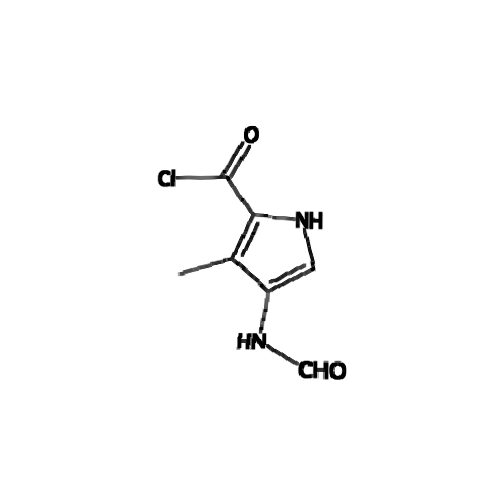 Cc1c(NC=O)c[nH]c1C(=O)Cl